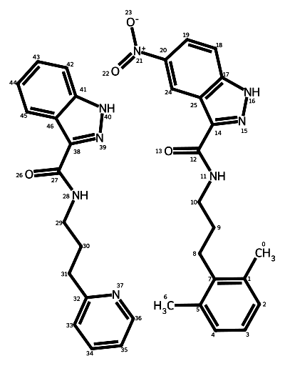 Cc1cccc(C)c1CCCNC(=O)c1n[nH]c2ccc([N+](=O)[O-])cc12.O=C(NCCCc1ccccn1)c1n[nH]c2ccccc12